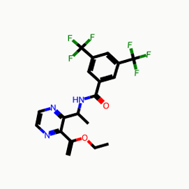 C=C(OCC)c1nccnc1C(C)NC(=O)c1cc(C(F)(F)F)cc(C(F)(F)F)c1